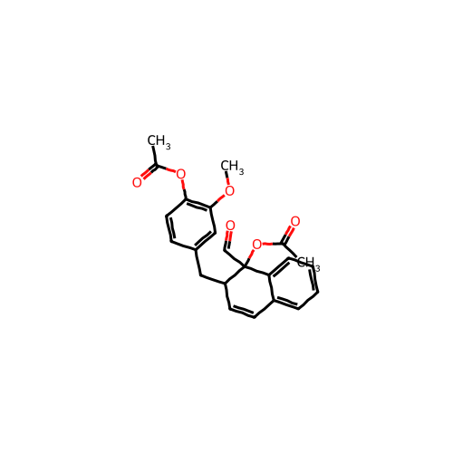 COc1cc(CC2C=Cc3ccccc3C2(C=O)OC(C)=O)ccc1OC(C)=O